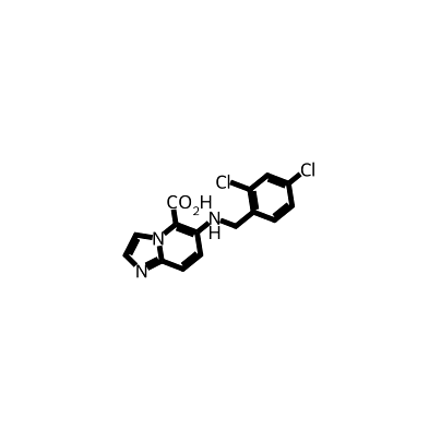 O=C(O)c1c(NCc2ccc(Cl)cc2Cl)ccc2nccn12